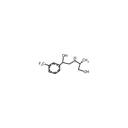 C[C@@H](CO)NCC(O)c1cccc(C(F)(F)F)c1